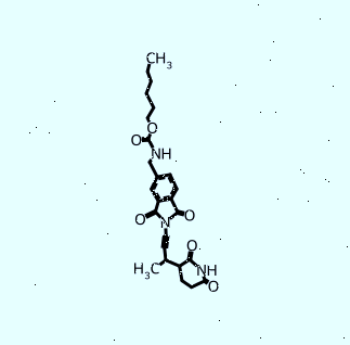 CCCCCCOC(=O)NCc1ccc2c(c1)C(=O)N(C#CC(C)C1CCC(=O)NC1=O)C2=O